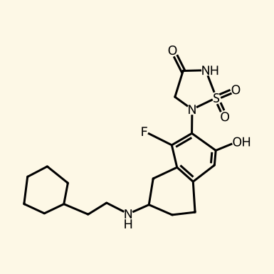 O=C1CN(c2c(O)cc3c(c2F)CC(NCCC2CCCCC2)CC3)S(=O)(=O)N1